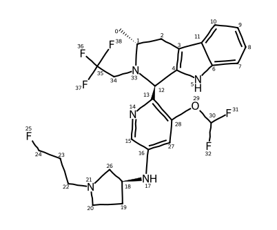 C[C@@H]1Cc2c([nH]c3ccccc23)[C@@H](c2ncc(N[C@H]3CCN(CCCF)C3)cc2OC(F)F)N1CC(F)(F)F